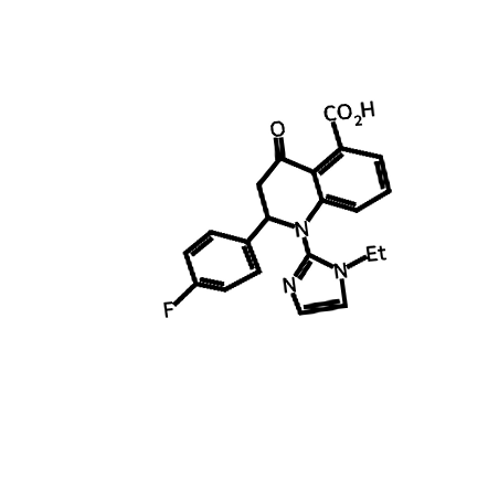 CCn1ccnc1N1c2cccc(C(=O)O)c2C(=O)CC1c1ccc(F)cc1